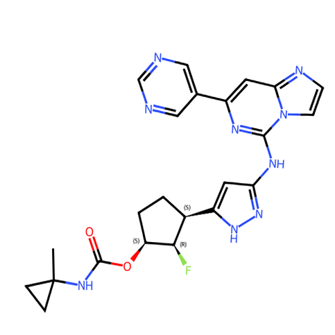 CC1(NC(=O)O[C@H]2CC[C@@H](c3cc(Nc4nc(-c5cncnc5)cc5nccn45)n[nH]3)[C@H]2F)CC1